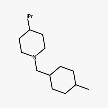 CC1CCC(CN2CCC(C(C)C)CC2)CC1